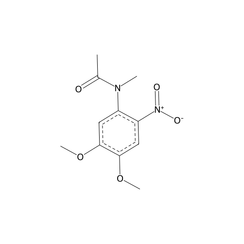 COc1cc(N(C)C(C)=O)c([N+](=O)[O-])cc1OC